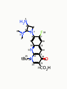 CN(C)C1C(N)CN1c1cc2nc3c(cc2cc1F)c(=O)c(C(=O)O)cn3C(C)(C)C